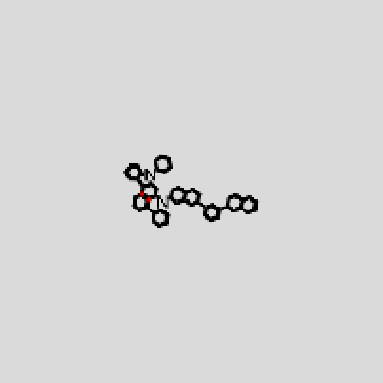 c1ccc(-c2ccccc2N(c2ccc3ccc(-c4cccc(-c5ccc6ccccc6c5)c4)cc3c2)c2ccc3c4ccccc4n(-c4ccccc4)c3c2)cc1